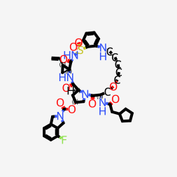 C=C[C@@H]1C[C@@]12NC(=O)[C@@H]1C[C@@H](OC(=O)N3Cc4cccc(F)c4C3)CN1C(=O)[C@@H](NC(=O)CC1CCCC1)COCCCCCNc1ccccc1S(=O)(=O)NC2=O